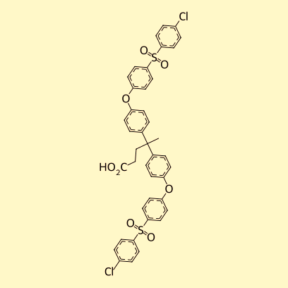 CC(CCC(=O)O)(c1ccc(Oc2ccc(S(=O)(=O)c3ccc(Cl)cc3)cc2)cc1)c1ccc(Oc2ccc(S(=O)(=O)c3ccc(Cl)cc3)cc2)cc1